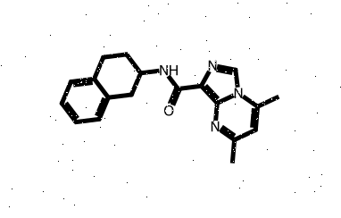 Cc1cc(C)n2cnc(C(=O)NC3CCc4ccccc4C3)c2n1